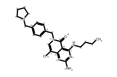 CCCCNc1nc(N)nc2c(Cl)cn(Cc3ccc(CN4CCCC4)cc3)c(=O)c12